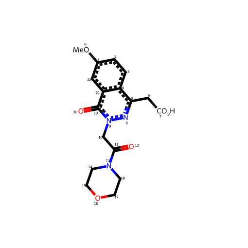 COc1ccc2c(CC(=O)O)nn(CC(=O)N3CCOCC3)c(=O)c2c1